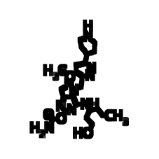 CCCC(CCO)Nc1nc(OC(N)=O)nc2cnn(Cc3nnc(C4CCNCC4)cc3OC)c12